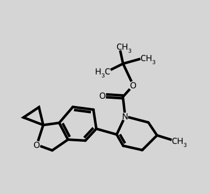 CC1CC=C(c2ccc3c(c2)COC32CC2)N(C(=O)OC(C)(C)C)C1